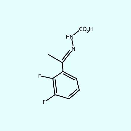 C/C(=N\NC(=O)O)c1cccc(F)c1F